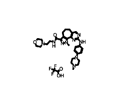 CN1CCN(c2ccc(Nc3ncc4c(n3)-c3c(c(C(=O)NCCN5CCOCC5)nn3C)CCC4)cc2)CC1.O=C(O)C(F)(F)F